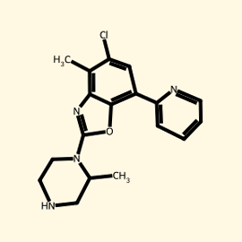 Cc1c(Cl)cc(-c2ccccn2)c2oc(N3CCNCC3C)nc12